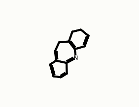 C1=CC2=C(CC=c3ccccc3=N2)CC1